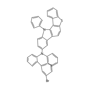 Brc1cccc(-c2ccccc2N(c2ccccc2)c2ccc3c(c2)c2ccc4sc5ccccc5c4c2n3-c2ccccc2)c1